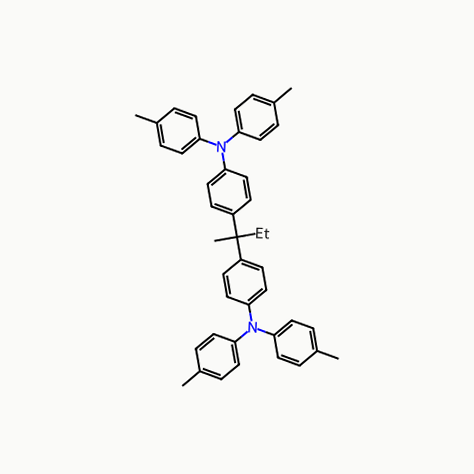 CCC(C)(c1ccc(N(c2ccc(C)cc2)c2ccc(C)cc2)cc1)c1ccc(N(c2ccc(C)cc2)c2ccc(C)cc2)cc1